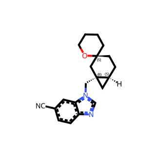 N#Cc1ccc2ncn(C[C@@]34C[C@@H]3CC[C@@]3(CCCCO3)C4)c2c1